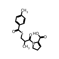 Cc1ccc(C(=O)SCC(C)C(=O)N2CCC=C2C(=O)O)cc1